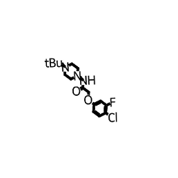 CC(C)(C)N1CCN(NC(=O)COc2ccc(Cl)c(F)c2)CC1